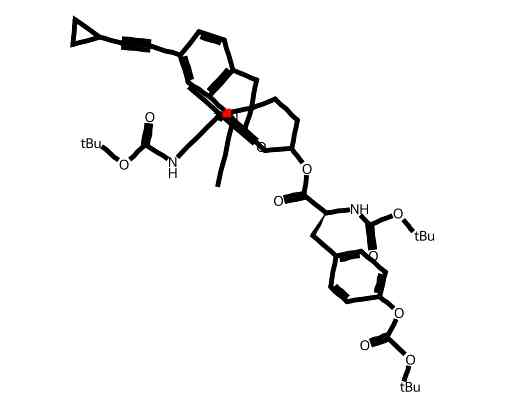 CN1C(=O)C2(N=C1NC(=O)OC(C)(C)C)c1cc(C#CC3CC3)ccc1CC21CCC(OC(=O)[C@H](Cc2ccc(OC(=O)OC(C)(C)C)cc2)NC(=O)OC(C)(C)C)CC1